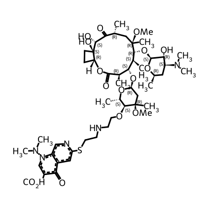 CO[C@]1(C)C[C@@H](C)C(=O)[C@@H](O)[C@@]2(O)CC[C@H]2OC(=O)[C@H](C)[C@@H](O[C@H]2C[C@@](C)(OC)[C@@H](OCCNCCSc3cc4c(=O)c(C(=O)O)cn(N(C)C)c4cn3)[C@H](C)O2)[C@H](C)[C@H]1O[C@@H]1O[C@H](C)C[C@H](N(C)C)[C@H]1O